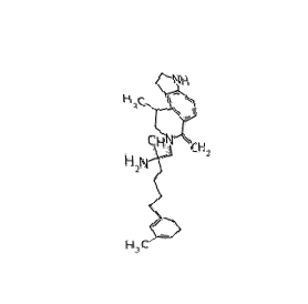 C=C1c2ccc3c(c2C(C)CN1CC(C)(N)CCCCC1=CC(C)=CCC1)CCN3